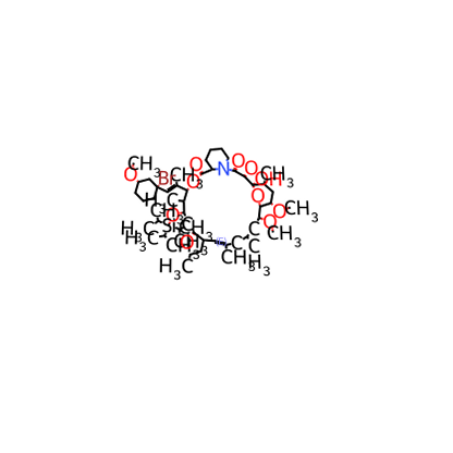 CCCC1/C=C(\C)CC(C)CC(OC)C2OC(O)(C(=O)C(=O)N3CCCCC3C(=O)OC(C(C)=CC3(Br)CCCC(OC)C3)C(C)C(O[Si](C(C)C)(C(C)C)C(C)C)CC1=O)C(C)CC2OC